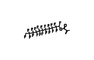 C=C(C)C(=O)OC(F)C(F)(F)C(F)(F)C(F)(F)C(F)(F)C(F)(F)C(F)(F)C(F)(F)C(F)(F)C(F)(F)CF